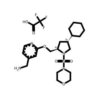 NCc1ccnc(OC[C@H]2C[C@H](C3CCCCC3)CN2S(=O)(=O)N2CCOCC2)c1.O=C(O)C(F)(F)F